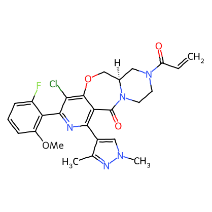 C=CC(=O)N1CCN2C(=O)c3c(-c4cn(C)nc4C)nc(-c4c(F)cccc4OC)c(Cl)c3OC[C@H]2C1